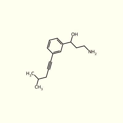 CC(C)CC#Cc1cccc(C(O)CCN)c1